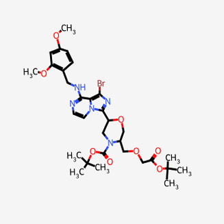 COc1ccc(CNc2nccn3c(C4CN(C(=O)OC(C)(C)C)C(COCC(=O)OC(C)(C)C)CO4)nc(Br)c23)c(OC)c1